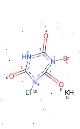 O=c1[nH]c(=O)n(Br)c(=O)n1Cl.[KH]